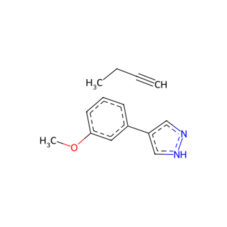 C#CCC.COc1cccc(-c2cn[nH]c2)c1